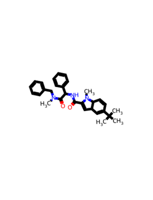 CN(Cc1ccccc1)C(=O)C(NC(=O)C1=CC2C=C(C(C)(C)C)C=CC2N1C)c1ccccc1